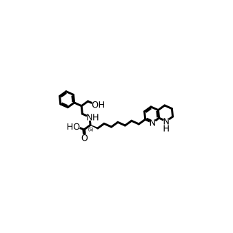 O=C(O)[C@H](CCCCCCCc1ccc2c(n1)NCCC2)NCC(CO)c1ccccc1